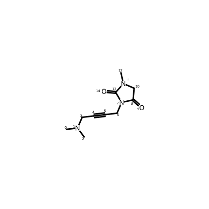 CN(C)CC#CCN1C(=O)CN(C)C1=O